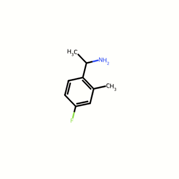 Cc1cc(F)ccc1C(C)N